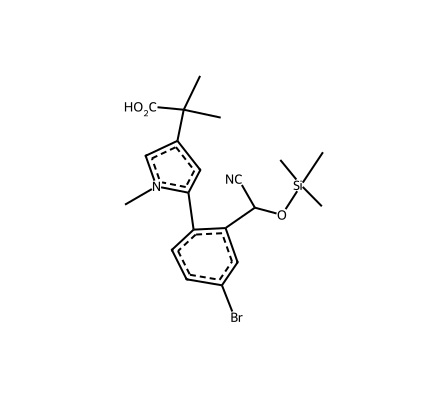 Cn1cc(C(C)(C)C(=O)O)cc1-c1ccc(Br)cc1C(C#N)O[Si](C)(C)C